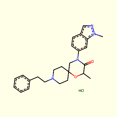 CC1OC2(CCN(CCc3ccccc3)CC2)CN(c2ccc3cnn(C)c3c2)C1=O.Cl